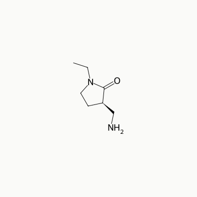 CCN1CC[C@H](CN)C1=O